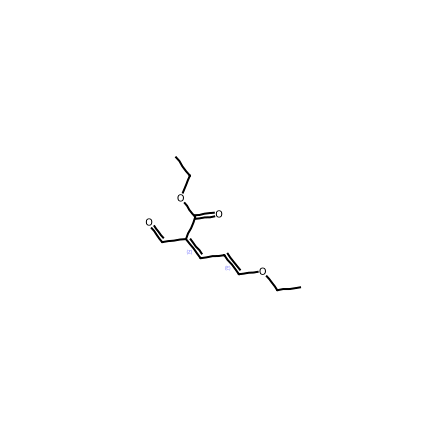 CCO/C=C/C=C(/C=O)C(=O)OCC